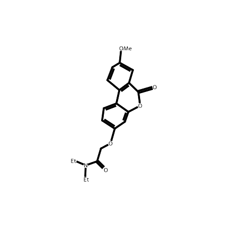 CCN(CC)C(=O)COc1ccc2c(c1)oc(=O)c1cc(OC)ccc12